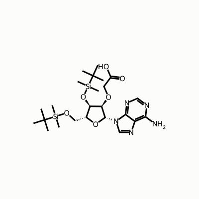 CC(C)(C)[Si](C)(C)OC[C@H]1O[C@@H](n2cnc3c(N)ncnc32)[C@H](OCC(=O)O)[C@@H]1O[Si](C)(C)C(C)(C)C